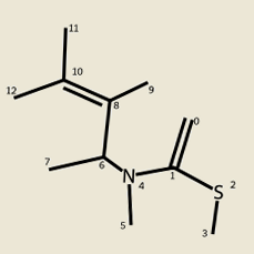 C=C(SC)N(C)C(C)C(C)=C(C)C